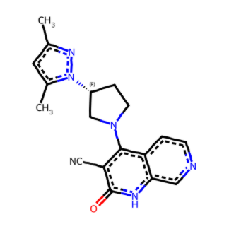 Cc1cc(C)n([C@@H]2CCN(c3c(C#N)c(=O)[nH]c4cnccc34)C2)n1